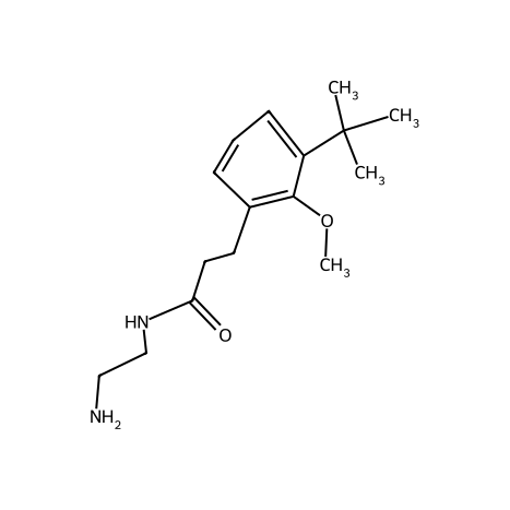 COc1c(CCC(=O)NCCN)cccc1C(C)(C)C